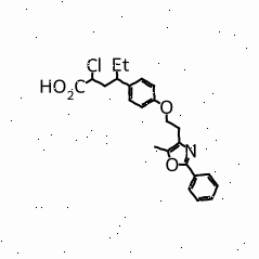 CCC(CC(Cl)C(=O)O)c1ccc(OCCc2nc(-c3ccccc3)oc2C)cc1